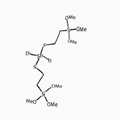 C[CH2][Sn]([CH2]C)([S]CC[Si](OC)(OC)OC)[S]CC[Si](OC)(OC)OC